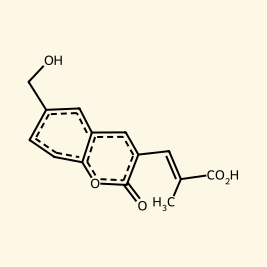 CC(=Cc1cc2cc(CO)ccc2oc1=O)C(=O)O